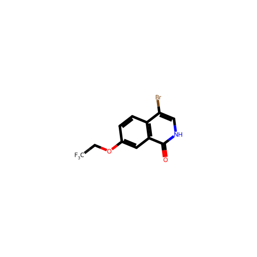 O=c1[nH]cc(Br)c2ccc(OCC(F)(F)F)cc12